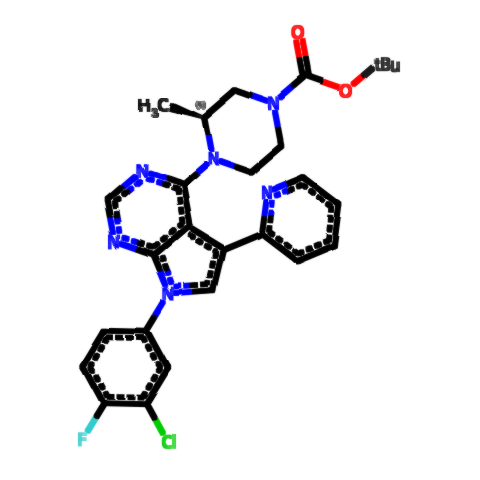 C[C@H]1CN(C(=O)OC(C)(C)C)CCN1c1ncnc2c1c(-c1ccccn1)cn2-c1ccc(F)c(Cl)c1